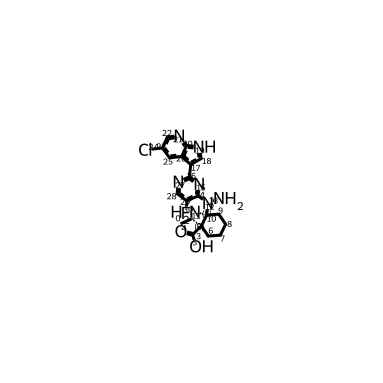 CC[C@@]1(C(=O)O)CCCC[C@]1(N)N(N)c1nc(-c2c[nH]c3ncc(Cl)cc23)ncc1F